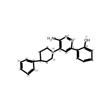 Nc1nnc(-c2ccccc2O)cc1N1CCC(c2ccccc2)CC1